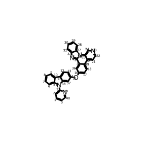 c1ccc(-n2c3ccccc3c3ccc(Oc4ccc5c6ccncc6n6c7ccccc7nc6c5c4)cc32)nc1